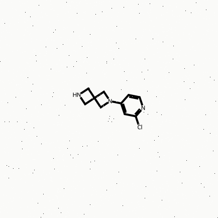 Clc1cc(N2CC3(CNC3)C2)ccn1